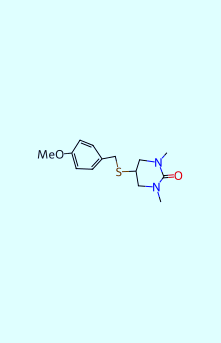 COc1ccc(CSC2CN(C)C(=O)N(C)C2)cc1